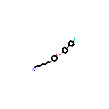 N#CC=CC=CCC[C@H]1CC[C@H](OC[C@H]2CC[C@H](c3ccc(F)cc3)CC2)CC1